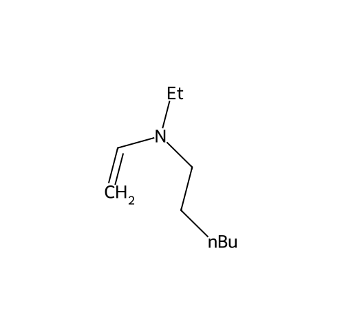 C=CN(CC)CCCCCC